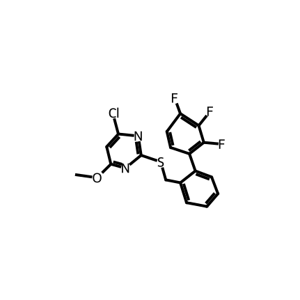 COc1cc(Cl)nc(SCc2ccccc2-c2ccc(F)c(F)c2F)n1